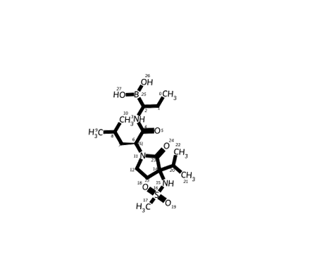 CCC(NC(=O)[C@H](CC(C)C)N1CCC(NS(C)(=O)=O)(C(C)C)C1=O)B(O)O